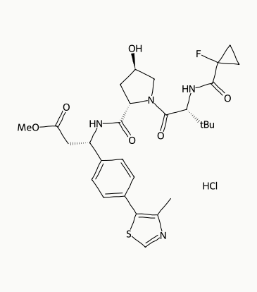 COC(=O)C[C@H](NC(=O)[C@@H]1C[C@@H](O)CN1C(=O)[C@H](NC(=O)C1(F)CC1)C(C)(C)C)c1ccc(-c2scnc2C)cc1.Cl